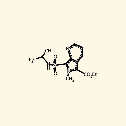 CCOC(=O)c1c2cccnc2c(S(=O)(=O)NC(C)C(F)(F)F)n1C